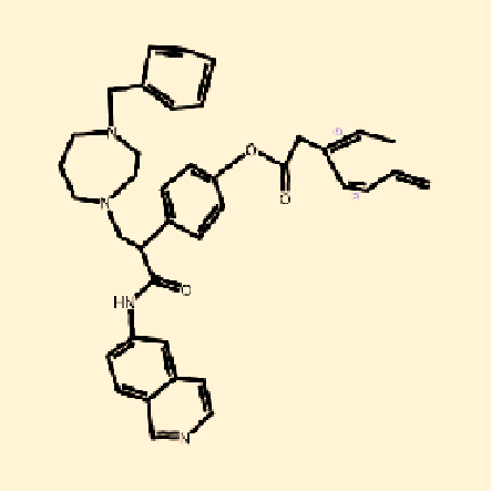 C=C/C=C\C(=C/C)CC(=O)Oc1ccc(C(CN2CCCN(Cc3ccccc3)CC2)C(=O)Nc2ccc3cnccc3c2)cc1